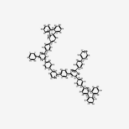 c1ccc(-c2nc(-c3ccc(-c4ccnc(-c5ccc(-c6cc(-c7ccc(-c8ccc9c%10ccccc%10c%10ccccc%10c9n8)cc7)nc(-c7ccc(-c8ccncc8)cc7)n6)cc5)c4)cc3)cc(-c3ccc(-c4ccc5c6ccccc6c6ccccc6c5n4)cc3)n2)cc1